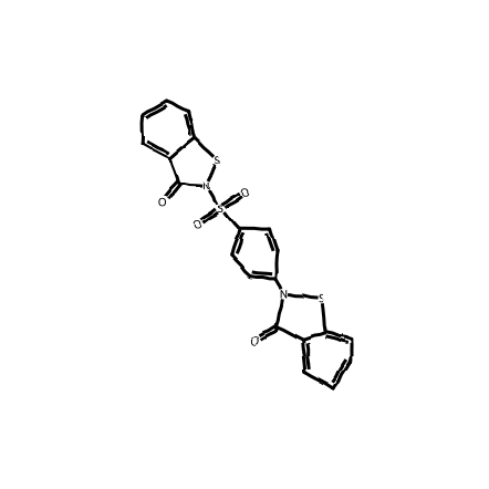 O=c1c2ccccc2sn1-c1ccc(S(=O)(=O)n2sc3ccccc3c2=O)cc1